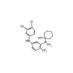 CN(c1nc(Nc2ccc(Cl)c(Cl)c2)ncc1C(F)(F)F)C1(O)CCCCC1